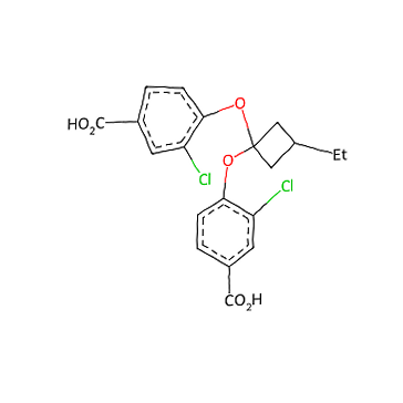 CCC1CC(Oc2ccc(C(=O)O)cc2Cl)(Oc2ccc(C(=O)O)cc2Cl)C1